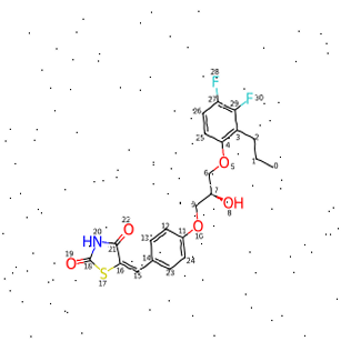 CCCc1c(OC[C@@H](O)COc2ccc(C=C3SC(=O)NC3=O)cc2)ccc(F)c1F